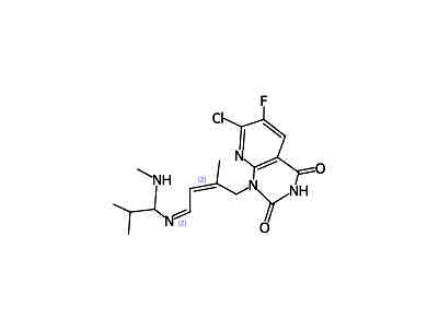 CNC(/N=C\C=C(\C)Cn1c(=O)[nH]c(=O)c2cc(F)c(Cl)nc21)C(C)C